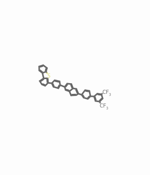 FC(F)(F)c1cc(-c2ccc(-c3ccc4cc(-c5ccc(-c6cccc7c6sc6ccccc67)cc5)ccc4c3)cc2)cc(C(F)(F)F)c1